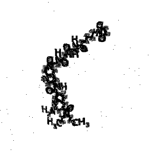 CCCN(CCC)C(=O)C1=Cc2ccc(C(=O)Nc3cnc4c(c3)CN(C(=O)CNC(=O)CNC(=O)CNC(=O)CCCCCN3C(=O)C=CC3=O)CC4)cc2N=C(N)C1